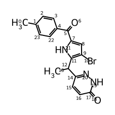 Cc1ccc(C(=O)c2cc(Br)c(C(C)c3ccc(=O)[nH]n3)[nH]2)cc1